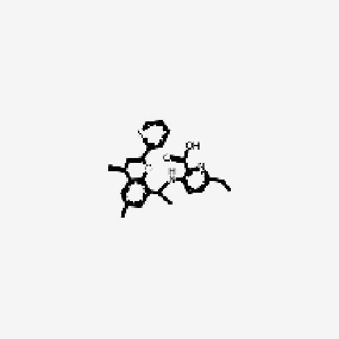 C=C1C=C(c2ccccn2)Oc2c1cc(C)cc2C(C)Nc1ccc(CC)nc1C(=O)O